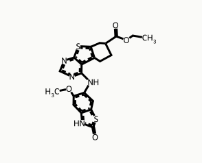 CCOC(=O)C1CCc2c(sc3ncnc(Nc4cc5sc(=O)[nH]c5cc4OC)c23)C1